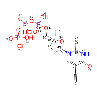 C#Cc1cn([C@H]2CC[C@@](F)(COP(=O)(O)OP(=O)(O)OP(=O)(O)O)O2)c(=S)[nH]c1=O